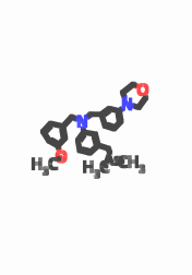 COc1cccc(CN(Cc2cccc(N3CCOCC3)c2)c2cccc(C[As](C)C)c2)c1